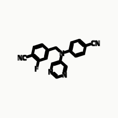 N#Cc1ccc(N(Cc2ccc(C#N)c(F)c2)c2cncnc2)cc1